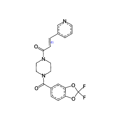 O=C(/C=C/c1cccnc1)N1CCN(C(=O)c2ccc3c(c2)OC(F)(F)O3)CC1